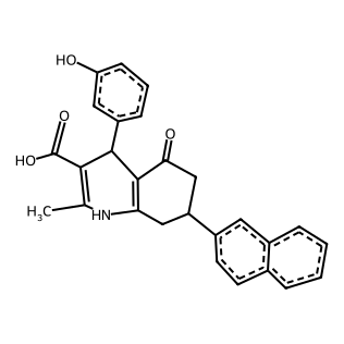 CC1=C(C(=O)O)C(c2cccc(O)c2)C2=C(CC(c3ccc4ccccc4c3)CC2=O)N1